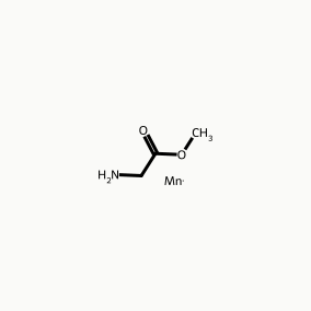 COC(=O)CN.[Mn]